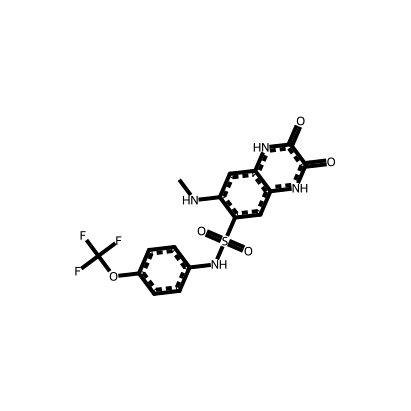 CNc1cc2[nH]c(=O)c(=O)[nH]c2cc1S(=O)(=O)Nc1ccc(OC(F)(F)F)cc1